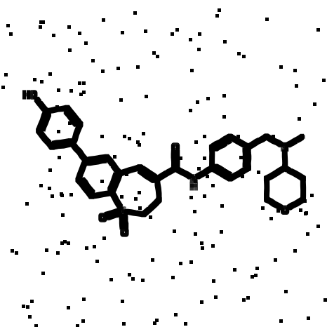 CN(Cc1ccc(NC(=O)C2=Cc3cc(-c4ccc(O)cc4)ccc3S(=O)(=O)CC2)cc1)C1CCOCC1